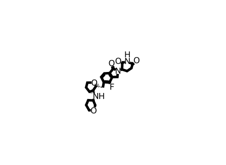 O=C1CCC(N2Cc3c(ccc(C[C@H]4OCCC[C@@H]4NC4CCCOC4)c3F)C2=O)C(=O)N1